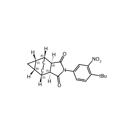 CC(C)(C)c1ccc(N2C(=O)[C@@H]3[C@@H]4CC[C@@H]([C@@H]5C[C@@H]54)[C@@H]3C2=O)cc1[N+](=O)[O-]